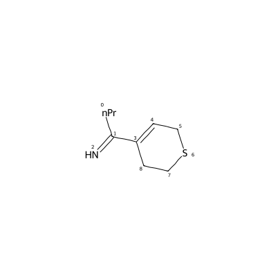 CCCC(=N)C1=CCSCC1